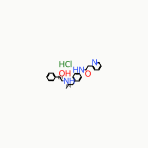 C[C@H](Cc1ccc(NC(=O)Cc2ccccn2)cc1)NC[C@@H](O)c1ccccc1.Cl